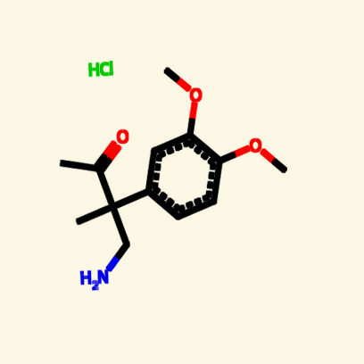 COc1ccc(C(C)(CN)C(C)=O)cc1OC.Cl